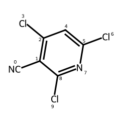 N#Cc1c(Cl)cc(Cl)nc1Cl